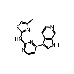 Cc1csc(Nc2nccc(-c3c[nH]c4cnccc34)n2)n1